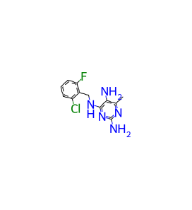 Cc1nc(N)nc(NCc2c(F)cccc2Cl)c1N